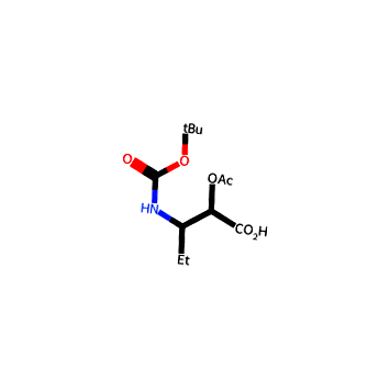 CCC(NC(=O)OC(C)(C)C)C(OC(C)=O)C(=O)O